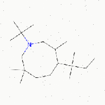 CCC(C)(C)C1CCC(C)(C)CN(C(C)(C)C)CC1C